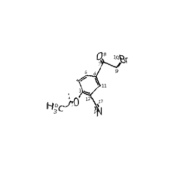 CCOc1ccc(C(=O)CBr)cc1C#N